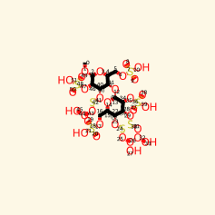 CO[C@H]1OC(COS(=O)(=O)O)[C@@H](O[C@H]2OC(COS(=O)(=O)O)[C@@H](OSOOO)[C@H](OSOOO)C2OS(=O)(=O)O)[C@H](OSOOO)C1OS(=O)(=O)O